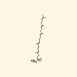 CC(C)=CCC/C(C)=C/CC/C(C)=C/CC/C=C(\C)CC/C=C(\C)CCC(=O)C(C)(C)C